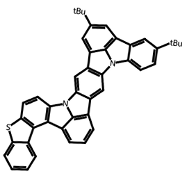 CC(C)(C)c1ccc2c(c1)c1cc(C(C)(C)C)cc3c4cc5c(cc4n2c13)c1cccc2c3c4c(ccc3n5c12)sc1ccccc14